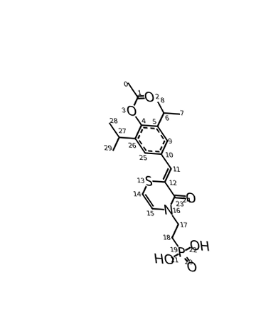 CC(=O)Oc1c(C(C)C)cc(C=C2SC=CN(CCP(=O)(O)O)C2=O)cc1C(C)C